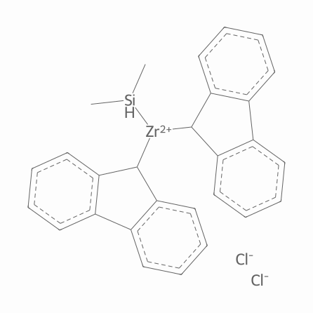 C[SiH](C)[Zr+2]([CH]1c2ccccc2-c2ccccc21)[CH]1c2ccccc2-c2ccccc21.[Cl-].[Cl-]